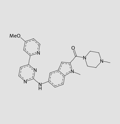 COc1ccnc(-c2ccnc(Nc3ccc4c(c3)cc(C(=O)N3CCN(C)CC3)n4C)n2)c1